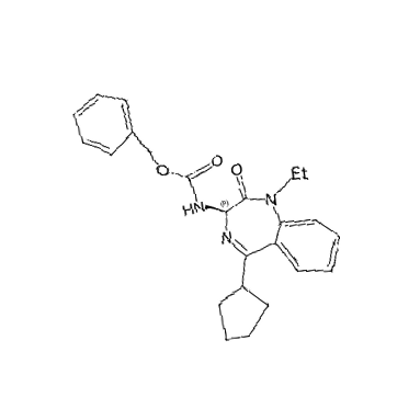 CCN1C(=O)[C@H](NC(=O)OCc2ccccc2)N=C(C2CCCC2)c2ccccc21